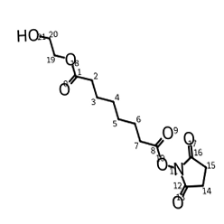 O=C(CCCCCCC(=O)ON1C(=O)CCC1=O)OCCO